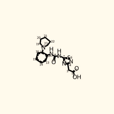 O=C(O)Cc1nsc(NC(=O)Nc2ccccc2N2CCCCC2)n1